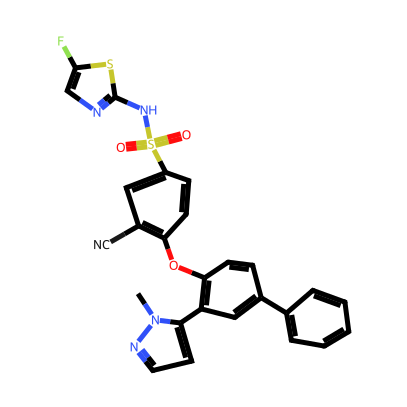 Cn1nccc1-c1cc(-c2ccccc2)ccc1Oc1ccc(S(=O)(=O)Nc2ncc(F)s2)cc1C#N